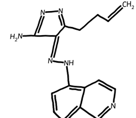 C=CCCC1=NN=C(N)/C1=N/Nc1cccc2cnccc12